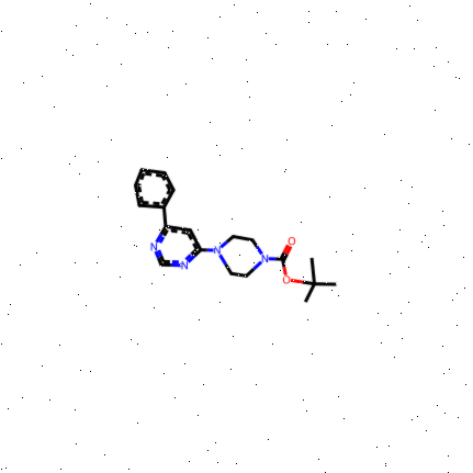 CC(C)(C)OC(=O)N1CCN(c2cc(-c3ccccc3)ncn2)CC1